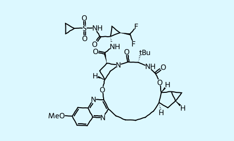 COc1ccc2nc3c(nc2c1)O[C@@H]1C[C@@H](C(=O)N[C@]2(C(=O)NS(=O)(=O)C4CC4)C[C@H]2C(F)F)N(C1)C(=O)[C@H](C(C)(C)C)NC(=O)O[C@@H]1C2C[C@@H]2C[C@H]1CCCCC3